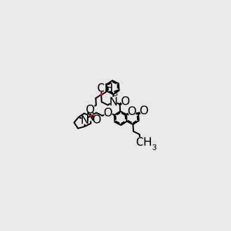 CCCCOC(=O)N1C2CCC1CN(CCOc1ccc3c(CCC)cc(=O)oc3c1C(=O)N1CCCc3ccccc31)C2